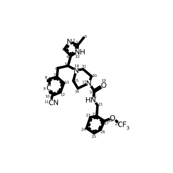 Cc1ncc(C(Cc2ccc(C#N)cc2)N2CCN(C(=O)NCc3ccccc3OC(F)(F)F)CC2)[nH]1